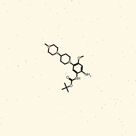 COc1cc(N)c(NC(=O)OC(C)(C)C)cc1N1CCC(N2CCN(C)CC2)CC1